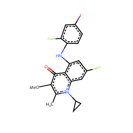 COc1c(C)n(C2CC2)c2cc(F)cc(Nc3ccc(I)cc3F)c2c1=O